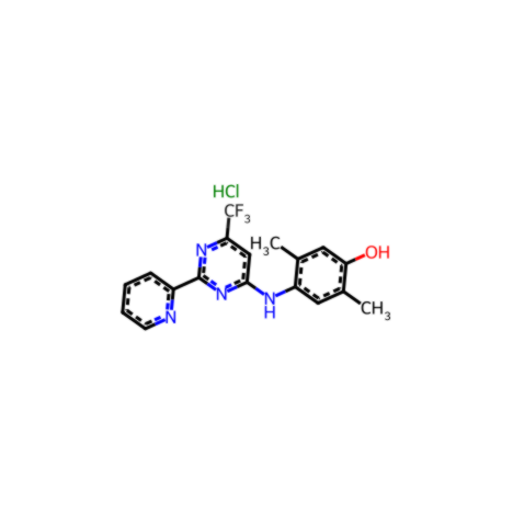 Cc1cc(Nc2cc(C(F)(F)F)nc(-c3ccccn3)n2)c(C)cc1O.Cl